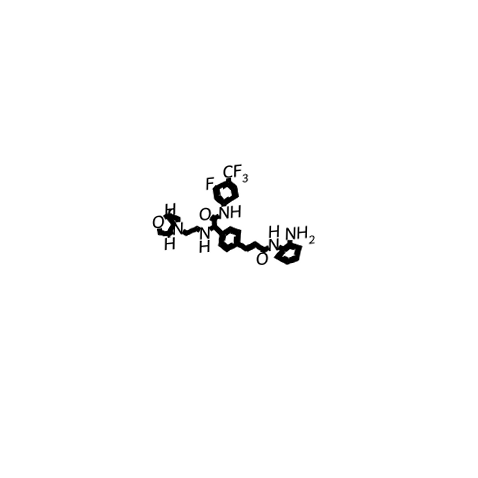 Nc1ccccc1NC(=O)/C=C/c1ccc(C(NCCN2C[C@@H]3C[C@H]2CO3)C(=O)Nc2ccc(C(F)(F)F)c(F)c2)cc1